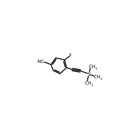 C[Si](C)(C)C#Cc1ccc(C#N)cc1F